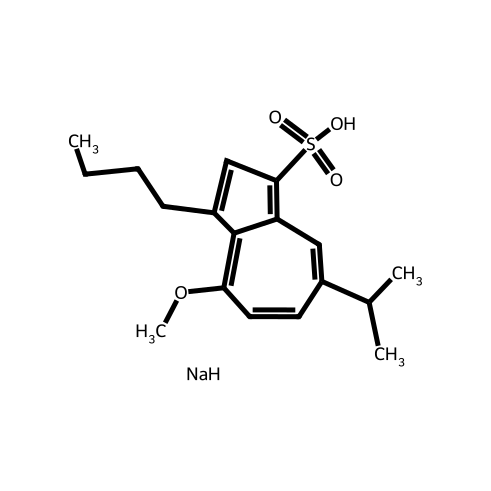 CCCCc1cc(S(=O)(=O)O)c2cc(C(C)C)ccc(OC)c1-2.[NaH]